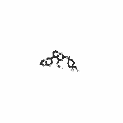 CCC1(O)CCC(Nc2nc(OC)c3c(-c4cnc5nccn5c4)ccn3n2)CC1